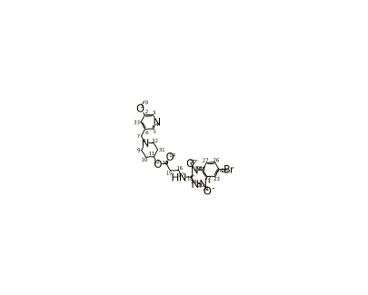 COc1cncc(CN2CCC(OC(=O)CCNc3n[n+]([O-])c4cc(Br)ccc4[n+]3[O-])CC2)c1